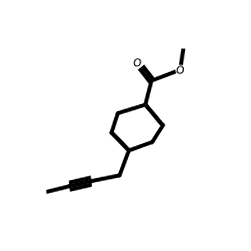 CC#CCC1CCC(C(=O)OC)CC1